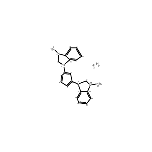 CCCCN1CN(c2cccc(N3CN(CCCC)c4ccccc43)c2)c2ccccc21.I.I